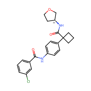 O=C(Nc1ccc(C2(C(=O)N[C@H]3CCOC3)CCC2)cc1)c1cccc(Cl)c1